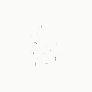 CC(CC(=O)O)CC(C)(CC(C)C(=O)O)c1cccc(Cl)c1